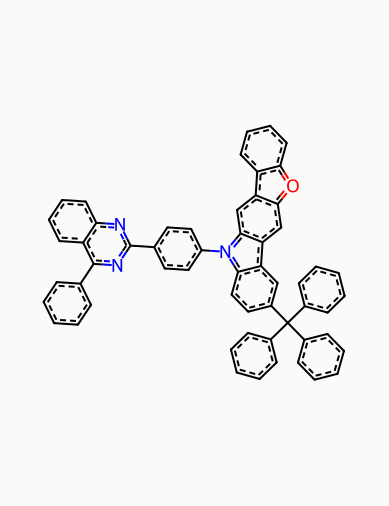 c1ccc(-c2nc(-c3ccc(-n4c5ccc(C(c6ccccc6)(c6ccccc6)c6ccccc6)cc5c5cc6oc7ccccc7c6cc54)cc3)nc3ccccc23)cc1